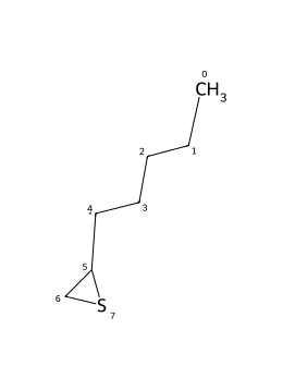 CCCC[CH]C1CS1